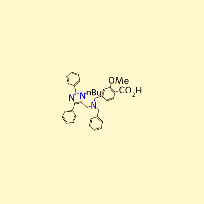 CCCCn1c(-c2ccccc2)nc(-c2ccccc2)c1CN(Cc1ccccc1)Cc1ccc(C(=O)O)c(OC)c1